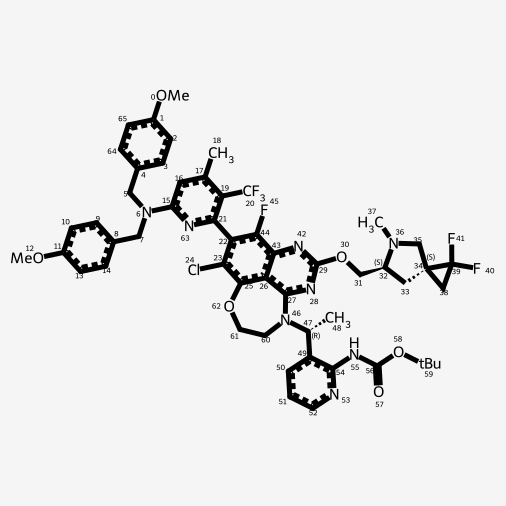 COc1ccc(CN(Cc2ccc(OC)cc2)c2cc(C)c(C(F)(F)F)c(-c3c(Cl)c4c5c(nc(OC[C@@H]6C[C@@]7(CN6C)CC7(F)F)nc5c3F)N([C@H](C)c3cccnc3NC(=O)OC(C)(C)C)CCO4)n2)cc1